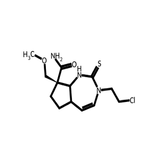 COC[C@]1(C(N)=O)CCC2C=CN(CCCl)C(=S)NC21